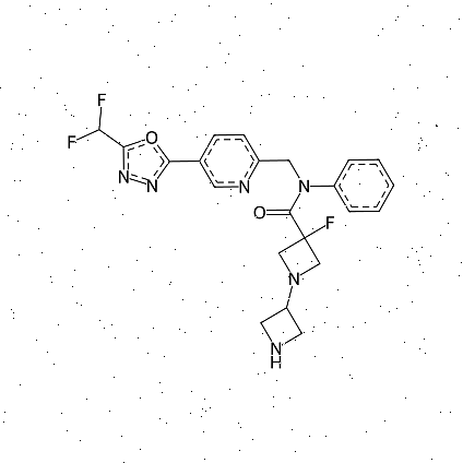 O=C(N(Cc1ccc(-c2nnc(C(F)F)o2)cn1)c1ccccc1)C1(F)CN(C2CNC2)C1